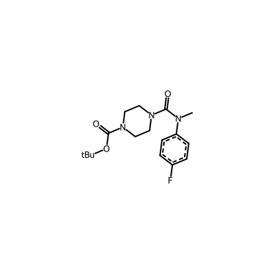 CN(C(=O)N1CCN(C(=O)OC(C)(C)C)CC1)c1ccc(F)cc1